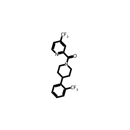 O=C(c1cc(C(F)(F)F)ccn1)N1CCC(c2ccccc2C(F)(F)F)CC1